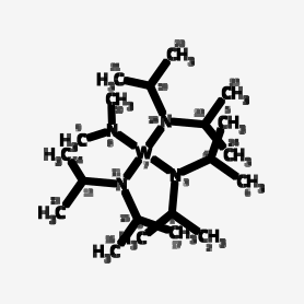 CC(C)[N](C(C)C)[W]([N](C)C)([N](C(C)C)C(C)C)[N](C(C)C)C(C)C